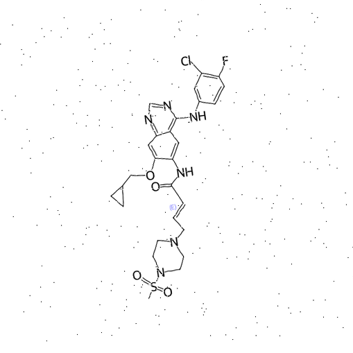 CS(=O)(=O)N1CCN(C/C=C/C(=O)Nc2cc3c(Nc4ccc(F)c(Cl)c4)ncnc3cc2OCC2CC2)CC1